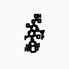 O=C(O)Oc1cn([C@@H]2C[C@@H]2F)c2c(Cl)c(N3C[C@H]4NCCO[C@@H]4C3)c(F)cc2c1=O